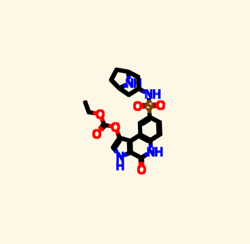 CCOC(=O)Oc1c[nH]c2c(=O)[nH]c3ccc(S(=O)(=O)NC4CC5CCC(C4)N5)cc3c12